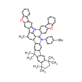 Cc1cc2c3c4c1c1cc5oc6ccccc6c5cc1n4-c1cc4c(cc1B3N(c1ccc(C(C)(C)C)cc1)c1cc3c(cc1-2)C(C)(C)c1cc2c(cc1-3)C(C)(C)CCC2(C)C)oc1ccccc14